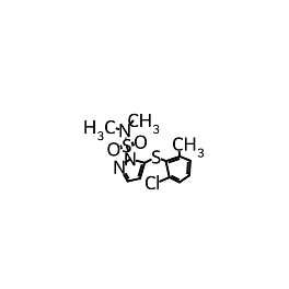 Cc1cccc(Cl)c1Sc1ccnn1S(=O)(=O)N(C)C